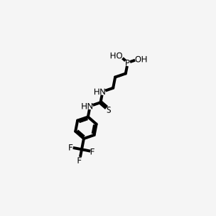 OP(O)CCCNC(=S)Nc1ccc(C(F)(F)F)cc1